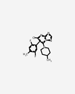 Cc1cc(F)c(-c2c(Cl)nc3ncnn3c2N2CCC(C)CC2)cc1F